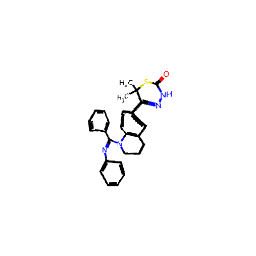 CC1(C)SC(=O)NN=C1c1ccc2c(c1)CCCN2/C(=N\c1ccccc1)c1ccccc1